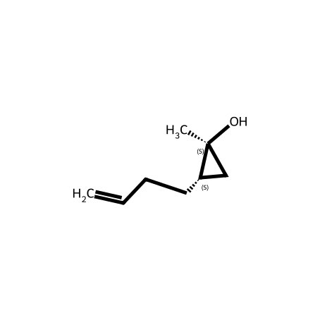 C=CCC[C@H]1C[C@]1(C)O